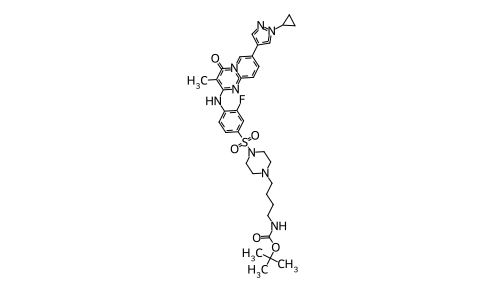 Cc1c(Nc2ccc(S(=O)(=O)N3CCN(CCCCNC(=O)OC(C)(C)C)CC3)cc2F)nc2ccc(-c3cnn(C4CC4)c3)cn2c1=O